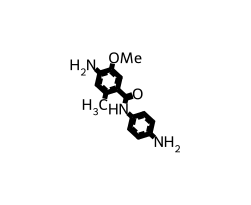 COc1cc(C(=O)Nc2ccc(N)cc2)c(C)cc1N